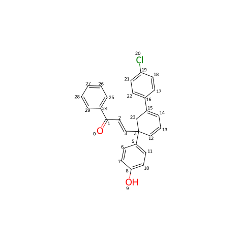 O=C(C=CC1(c2ccc(O)cc2)C=CC=C(c2ccc(Cl)cc2)C1)c1ccccc1